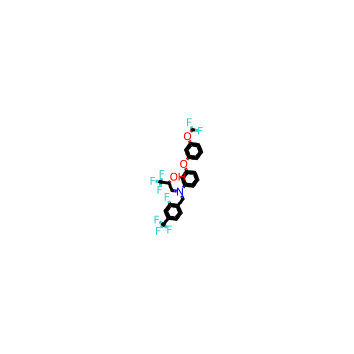 OC(CN(Cc1ccc(C(F)(F)F)cc1F)c1cccc(Oc2cccc(OC(F)F)c2)c1)C(F)(F)F